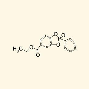 CCOC(=O)c1ccc2c(c1)OP(=O)(c1ccccc1)O2